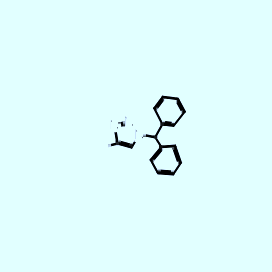 Oc1cn(C(c2ccccc2)c2ccccc2)nn1